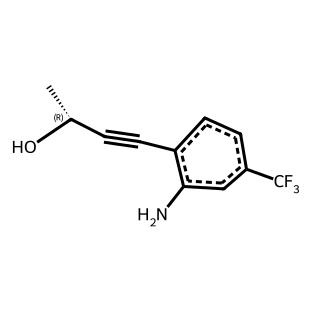 C[C@@H](O)C#Cc1ccc(C(F)(F)F)cc1N